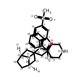 Cc1nc2cc(S(C)(=O)=O)ccc2n1C1C[C@H]2CC[C@@H](C1)N2CCC1(c2ccccc2)CCNCC1